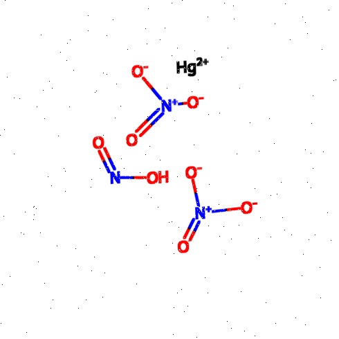 O=NO.O=[N+]([O-])[O-].O=[N+]([O-])[O-].[Hg+2]